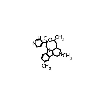 Cc1ccc2c(c1)c1c3n2CC(C)(c2ccncc2)OC(C)CC3CN(C)C1